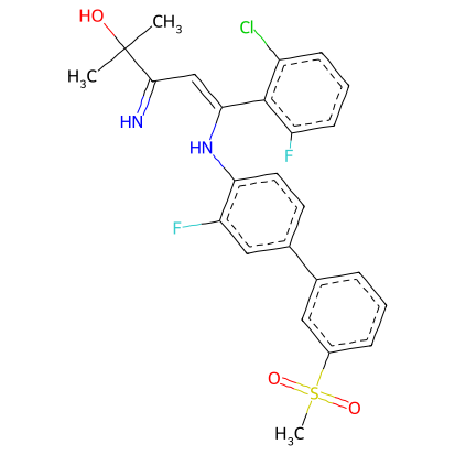 CC(C)(O)C(=N)/C=C(\Nc1ccc(-c2cccc(S(C)(=O)=O)c2)cc1F)c1c(F)cccc1Cl